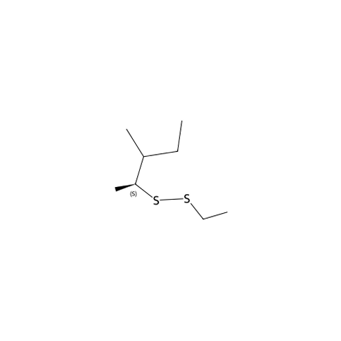 CCSS[C@@H](C)C(C)CC